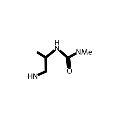 CNC(=O)NC(C)C[NH]